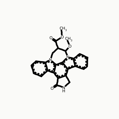 COC(=O)C1Cn2c3ccccc3c3c4c(c5c6ccccc6n(c5c32)C1OC)CNC4=O